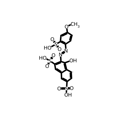 COc1ccc(N=Nc2c(S(=O)(=O)O)cc3cc(S(=O)(=O)O)c[c]c3c2O)c(S(=O)(=O)O)c1